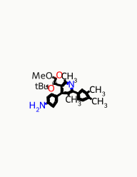 COC(=O)[C@@H](OC(C)(C)C)c1c(C)nc(-c2ccc(C)c(C)c2)c(C)c1-c1ccc(N)cc1